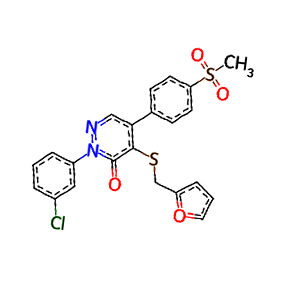 CS(=O)(=O)c1ccc(-c2cnn(-c3cccc(Cl)c3)c(=O)c2SCc2ccco2)cc1